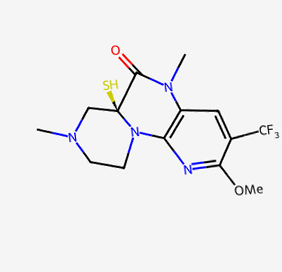 COc1nc2c(cc1C(F)(F)F)N(C)C(=O)[C@@]1(S)CN(C)CCN21